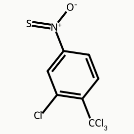 [O-][N+](=S)c1ccc(C(Cl)(Cl)Cl)c(Cl)c1